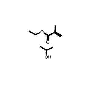 C=C(C)C(=O)OCC.CC(C)O